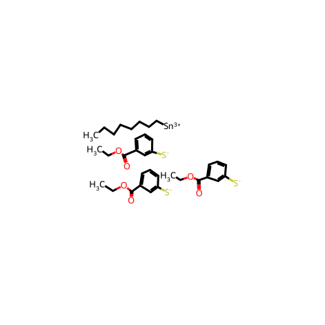 CCCCCCC[CH2][Sn+3].CCOC(=O)c1cccc([S-])c1.CCOC(=O)c1cccc([S-])c1.CCOC(=O)c1cccc([S-])c1